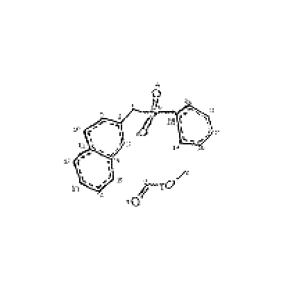 COC=O.O=S(=O)(Cc1ccc2ccccc2c1)c1ccccc1